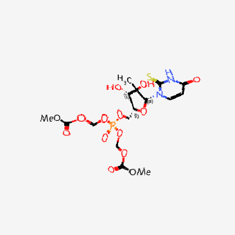 COC(=O)OCOP(=O)(OCOC(=O)OC)OC[C@H]1O[C@@H](n2ccc(=O)[nH]c2=S)C(C)(O)[C@H]1O